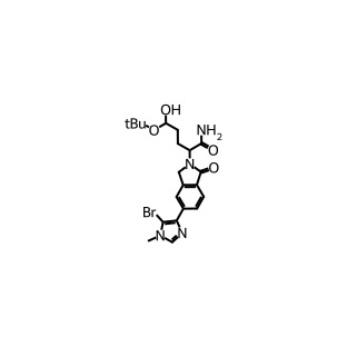 Cn1cnc(-c2ccc3c(c2)CN(C(CCC(O)OC(C)(C)C)C(N)=O)C3=O)c1Br